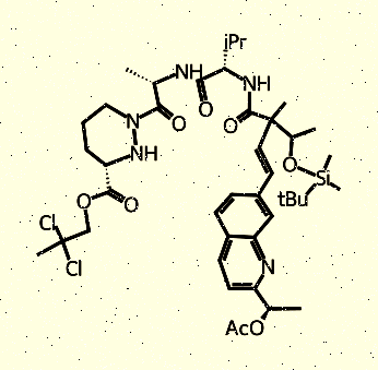 CC(=O)O[C@H](C)c1ccc2ccc(/C=C/C(C)(C(=O)N[C@H](C(=O)N[C@@H](C)C(=O)N3CCC[C@@H](C(=O)OCC(C)(Cl)Cl)N3)C(C)C)C(C)O[Si](C)(C)C(C)(C)C)cc2n1